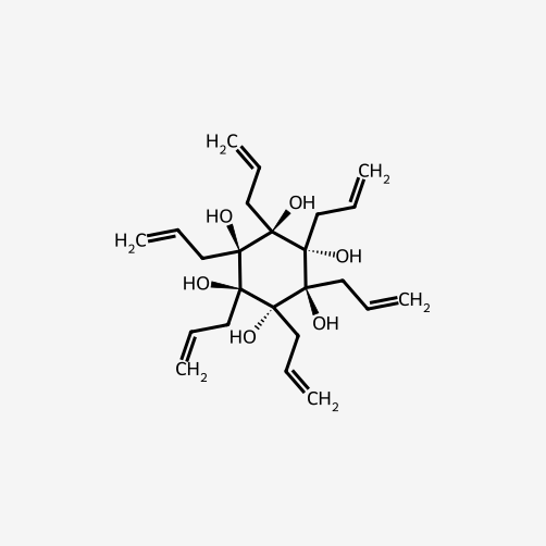 C=CC[C@]1(O)[C@@](O)(CC=C)[C@](O)(CC=C)[C@@](O)(CC=C)[C@](O)(CC=C)[C@]1(O)CC=C